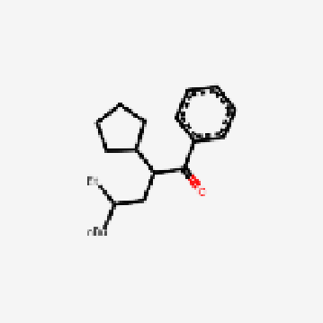 CCCCC(CC)CC(C(=O)c1ccccc1)C1CCCC1